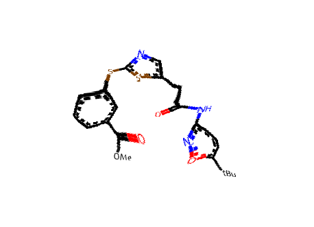 COC(=O)c1cccc(Sc2ncc(CC(=O)Nc3cc(C(C)(C)C)on3)s2)c1